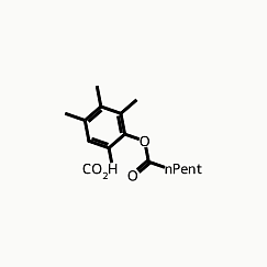 CCCCCC(=O)Oc1c(C(=O)O)cc(C)c(C)c1C